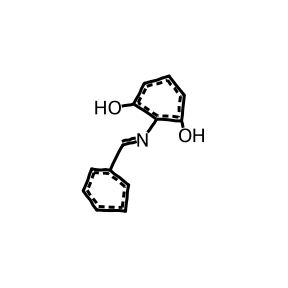 Oc1cccc(O)c1N=Cc1ccccc1